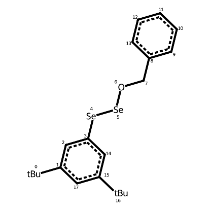 CC(C)(C)c1cc([Se][Se]OCc2ccccc2)cc(C(C)(C)C)c1